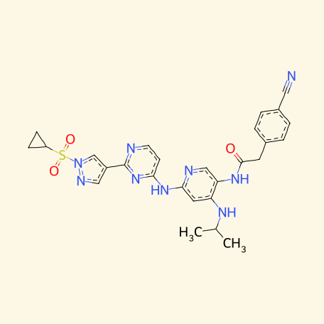 CC(C)Nc1cc(Nc2ccnc(-c3cnn(S(=O)(=O)C4CC4)c3)n2)ncc1NC(=O)Cc1ccc(C#N)cc1